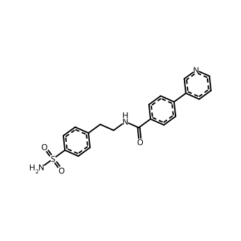 NS(=O)(=O)c1ccc(CCNC(=O)c2ccc(-c3cccnc3)cc2)cc1